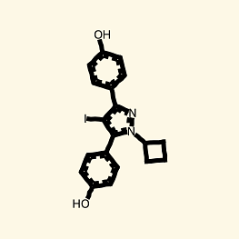 Oc1ccc(-c2nn(C3CCC3)c(-c3ccc(O)cc3)c2I)cc1